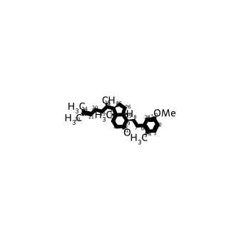 COc1ccc(C)c(CC[C@H]2C(=O)CC[C@]3(C)[C@@H]([C@H](C)CCC=C(C)C)CC[C@@H]23)c1